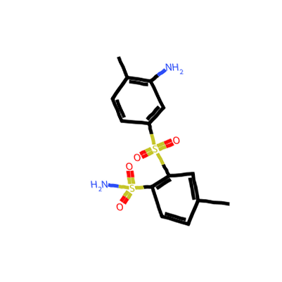 Cc1ccc(S(N)(=O)=O)c(S(=O)(=O)c2ccc(C)c(N)c2)c1